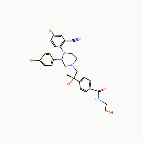 C[C@@](O)(CN1CCN(c2ccc(Cl)cc2C#N)[C@H](c2ccc(Cl)cc2)C1)c1ccc(C(=O)NCCO)cc1